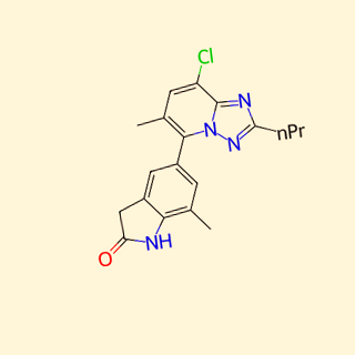 CCCc1nc2c(Cl)cc(C)c(-c3cc(C)c4c(c3)CC(=O)N4)n2n1